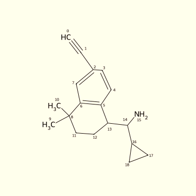 C#Cc1ccc2c(c1)C(C)(C)CCC2C(N)C1CC1